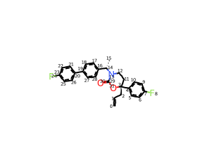 C=CC[C@]1(c2ccc(F)cc2)CCN([C@@H](C)c2ccc(-c3ccc(F)cc3)cc2)C(=O)O1